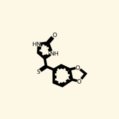 O=c1[nH]cc(C(=S)c2ccc3c(c2)OCO3)[nH]1